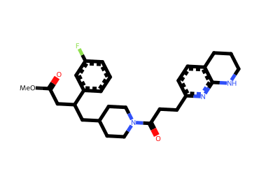 COC(=O)CC(CC1CCN(C(=O)CCc2ccc3c(n2)NCCC3)CC1)c1cccc(F)c1